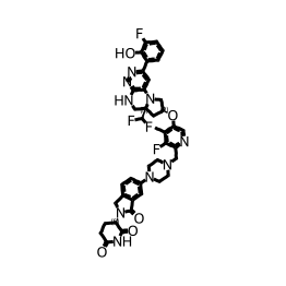 Cc1c(O[C@H]2CN3c4cc(-c5cccc(F)c5O)nnc4NC[C@@]3(C(F)F)C2)cnc(CN2CCN(c3ccc4c(c3)C(=O)N([C@H]3CCC(=O)NC3=O)C4)CC2)c1F